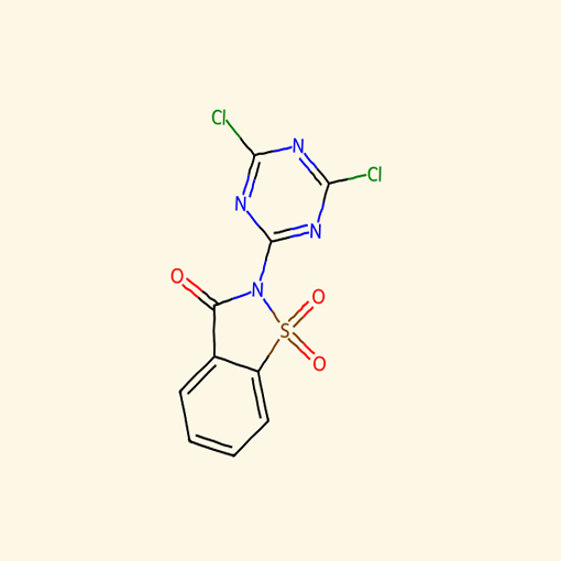 O=C1c2ccccc2S(=O)(=O)N1c1nc(Cl)nc(Cl)n1